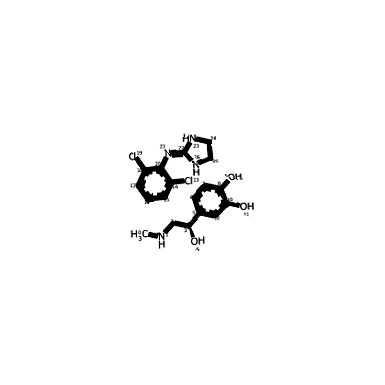 CNC[C@H](O)c1ccc(O)c(O)c1.Clc1cccc(Cl)c1N=C1NCCN1